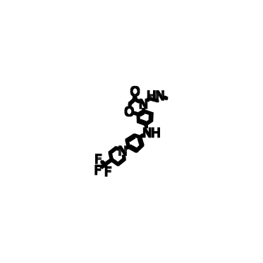 CNCCN1C(=O)COc2cc(Nc3ccc(N4CCC(C(F)(F)F)CC4)cc3)ccc21